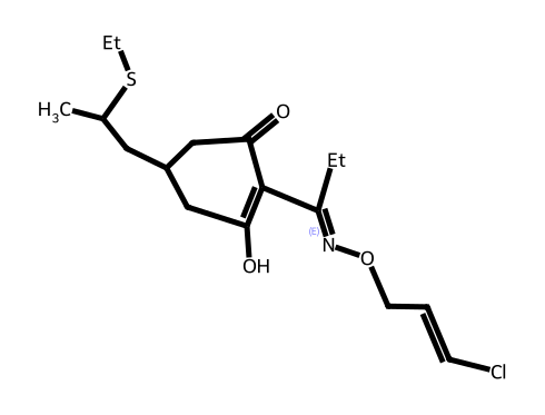 CCSC(C)CC1CC(=O)C(/C(CC)=N/OCC=CCl)=C(O)C1